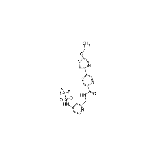 CCOc1cnc(-c2ccc(C(=O)NCc3cc(NS(=O)(=O)C4(F)CC4)ccn3)nc2)cn1